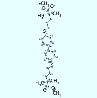 COC(=O)C(C)(C)CCCSc1ccc(-c2ccc(SCCCC(C)(C)C(=O)OC)cc2)cc1